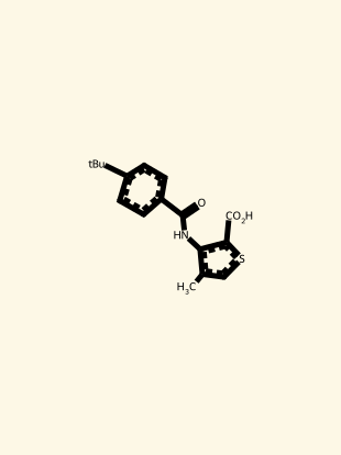 Cc1csc(C(=O)O)c1NC(=O)c1ccc(C(C)(C)C)cc1